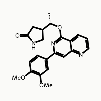 COc1ccc(-c2cc3ncccc3c(O[C@@H](C)C3CNC(=O)C3)n2)cc1OC